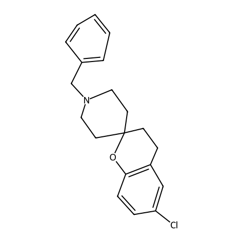 Clc1ccc2c(c1)CCC1(CCN(Cc3ccccc3)CC1)O2